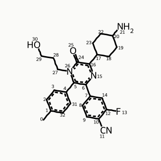 Cc1ccc(-c2c(-c3ccc(C#N)c(F)c3)nc(C3CCC(N)CC3)c(=O)n2CCCO)cc1